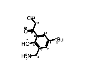 CC(C)(C)c1cc(CN)c(O)c(C(=O)CCl)c1